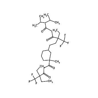 CCC(CC)(C(=O)CC(=O)C1(C)CCCC(CCC(CC)(C(=O)CC(=O)C(C(C)C)C(C)C)C(F)(F)F)C1)C(F)(F)F